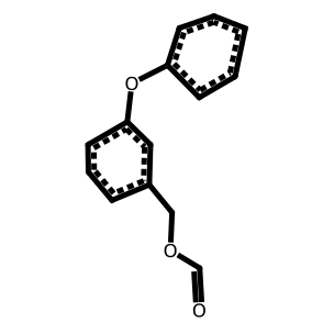 O=COCc1cccc(Oc2ccccc2)c1